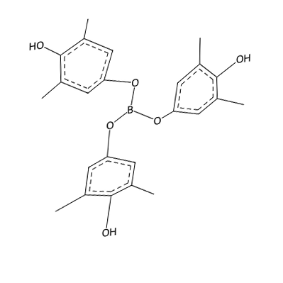 Cc1cc(OB(Oc2cc(C)c(O)c(C)c2)Oc2cc(C)c(O)c(C)c2)cc(C)c1O